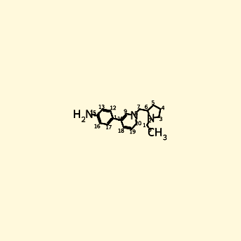 CCN1CCCC1CN1C=C(c2ccc(N)cc2)C=CC1